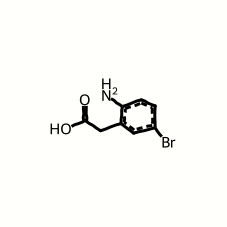 Nc1ccc(Br)cc1CC(=O)O